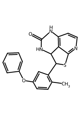 Cc1ccc(Oc2ccccc2)cc1C1Sc2nccc3c2C1NC(=O)N3